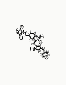 O=C1Nc2ccc(CCN3C(=O)CSC3=O)cc2/C1=C/c1cc(CN2CCOCC2)c[nH]1